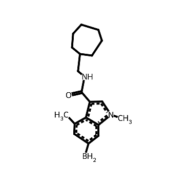 Bc1cc(C)c2c(C(=O)NCC3CCCCCC3)cn(C)c2c1